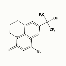 CCc1cc(=O)n2c3c(cc(C(O)(C(F)(F)F)C(F)(F)F)cc13)CCC2